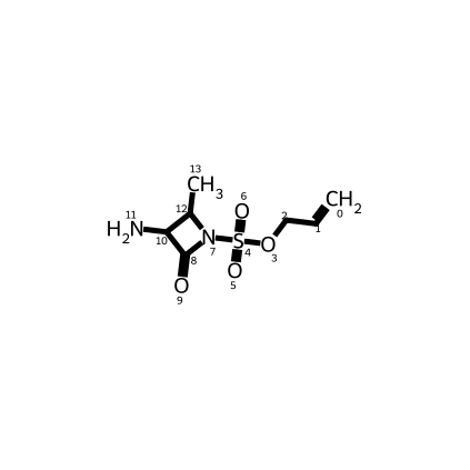 C=CCOS(=O)(=O)N1C(=O)C(N)C1C